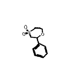 O=S1(=O)CCOC(c2ccccc2)C1